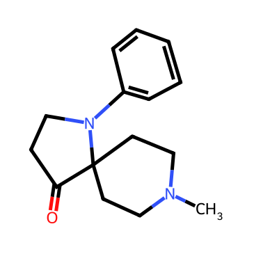 CN1CCC2(CC1)C(=O)CCN2c1ccccc1